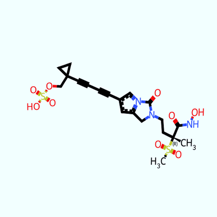 C[C@@](CCN1Cc2cc(C#CC#CC3(COS(=O)(=O)O)CC3)cn2C1=O)(C(=O)NO)S(C)(=O)=O